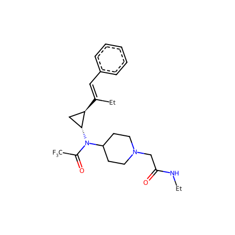 CCNC(=O)CN1CCC(N(C(=O)C(F)(F)F)[C@@H]2C[C@H]2/C(=C/c2ccccc2)CC)CC1